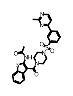 CC(=O)Nc1sc2ccccc2c1C(=O)N1CCN(S(=O)(=O)c2cccc(-c3ccnc(C)n3)c2)CC1